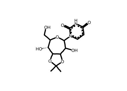 CC1(C)OC2C(O)C(n3ccc(=O)[nH]c3=O)OC(CO)[C@@H](O)C2O1